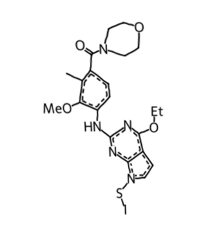 CCOc1nc(Nc2ccc(C(=O)N3CCOCC3)c(C)c2OC)nc2c1ccn2SI